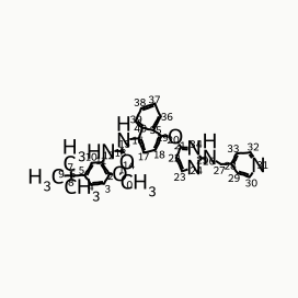 COc1ccc(C(C)(C)C)cc1NC(=O)Nc1ccc(Oc2ccnc(NCc3ccncc3)n2)c2ccccc12